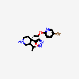 CC(C)C1CNCC[C@@]1(CCOc1ccc(Br)cn1)c1cnno1